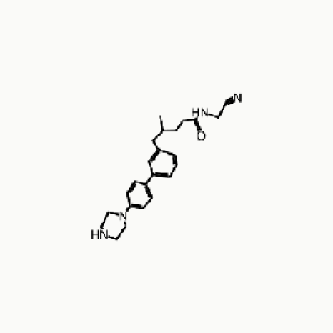 CC(CCC(=O)NCC#N)Cc1cccc(-c2ccc(N3CCNCC3)cc2)c1